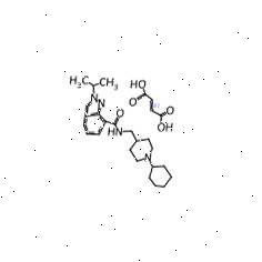 CC(C)n1cc2cccc(C(=O)NCC3CCN(C4CCCCC4)CC3)c2n1.O=C(O)/C=C/C(=O)O